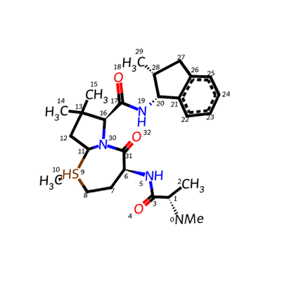 CN[C@@H](C)C(=O)N[C@H]1CC[SH](C)C2CC(C)(C)[C@@H](C(=O)N[C@H]3c4ccccc4C[C@H]3C)N2C1=O